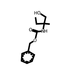 CCC(C)(CO)NC(=O)OCc1ccccc1